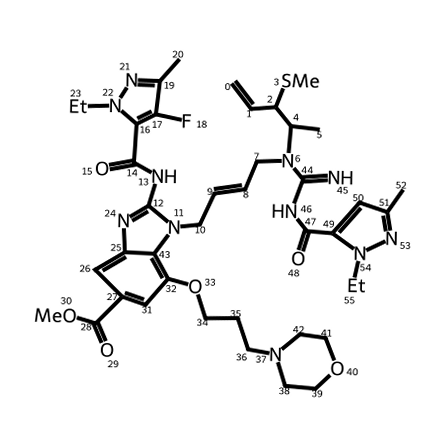 C=CC(SC)C(C)N(C/C=C/Cn1c(NC(=O)c2c(F)c(C)nn2CC)nc2cc(C(=O)OC)cc(OCCCN3CCOCC3)c21)C(=N)NC(=O)c1cc(C)nn1CC